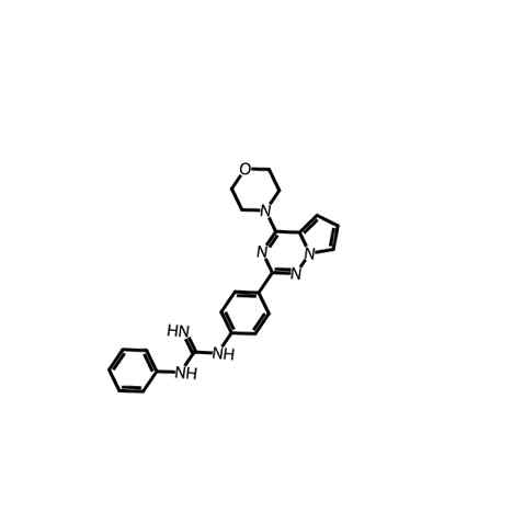 N=C(Nc1ccccc1)Nc1ccc(-c2nc(N3CCOCC3)c3cccn3n2)cc1